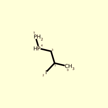 CC(I)CPP